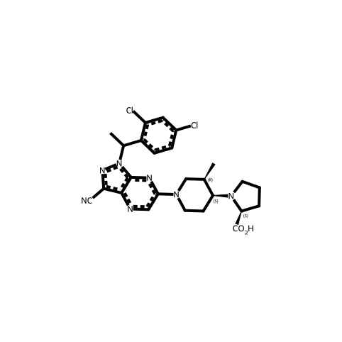 CC(c1ccc(Cl)cc1Cl)n1nc(C#N)c2ncc(N3CC[C@H](N4CCC[C@H]4C(=O)O)[C@H](C)C3)nc21